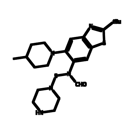 CC1CCN(c2cc3nc(C(C)(C)C)sc3cc2N(C=O)SN2CCNCC2)CC1